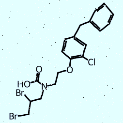 O=C(O)N(CCOc1ccc(Cc2ccccc2)cc1Cl)CC(Br)CBr